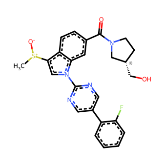 C[S+]([O-])c1cn(-c2ncc(-c3ccccc3F)cn2)c2cc(C(=O)N3CC[C@H](CO)C3)ccc12